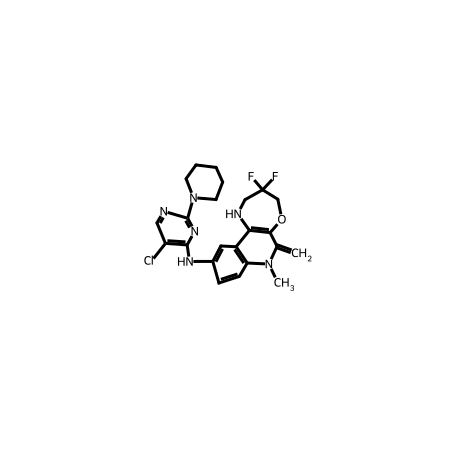 C=C1C2=C(NCC(F)(F)CO2)c2cc(Nc3nc(N4CCCCC4)ncc3Cl)ccc2N1C